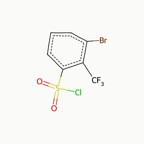 O=S(=O)(Cl)c1cccc(Br)c1C(F)(F)F